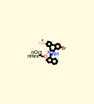 CBc1ccc2c3ccc(Br)cc3c3[nH]c(-c4c(OCC(CCCCCC)CCCCCCCC)ccc5ccccc45)nc3c2c1